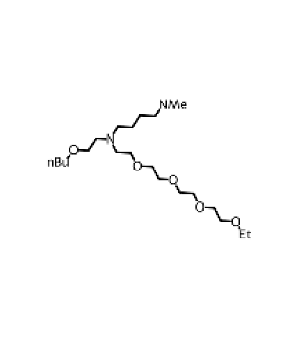 CCCCOCCN(CCCCNC)CCOCCOCCOCCOCC